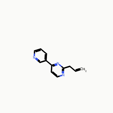 C=CCc1nccc(-c2cccnc2)n1